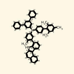 Cc1cc(C)c(-c2ccc(N(c3cc(-c4ccccc4)cc(-c4ccccc4)c3)c3ccc(C)c(-c4cccc5c4[nH]c4ccc6ccccc6c45)c3)cc2)c(C)c1